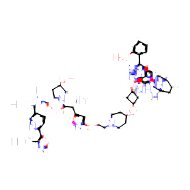 Cc1ncoc1-c1ccc([C@H](C)NC(=O)[C@@H]2C[C@@H](O)CN2C(=O)[C@@H](c2cc(OCCN3CCC(OC4CC(Oc5cc(N6C7CC[C@@H]6CN(c6cc(-c8ccccc8O)nnc6N)C7)ccn5)C4)CC3)no2)C(C)C)cn1